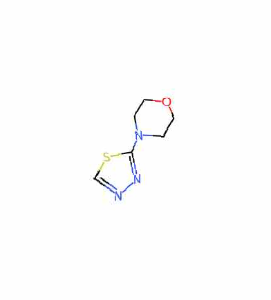 c1nnc(N2CCOCC2)s1